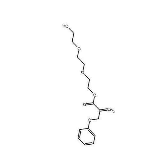 C=C(COc1ccccc1)C(=O)OCCOCCOCCO